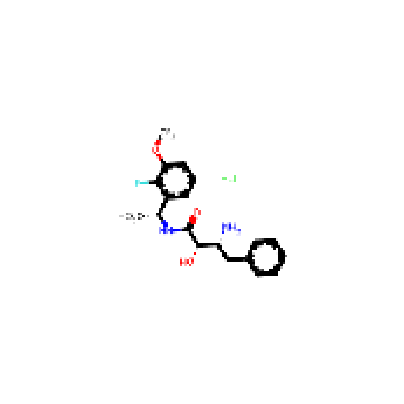 Cl.N[C@H](Cc1ccccc1)[C@H](O)C(=O)N[C@H](C(=O)O)c1cccc(OC(F)(F)F)c1F